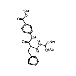 COC(NN[C@@H](Cc1ccccc1)C(=O)Nc1ccc(C(=O)OC(C)(C)C)cc1)OC